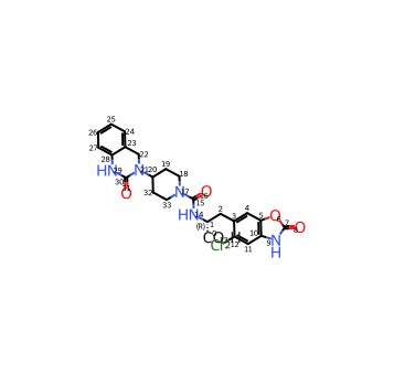 O=C(O)[C@@H](Cc1cc2oc(=O)[nH]c2cc1Cl)NC(=O)N1CCC(N2Cc3ccccc3NC2=O)CC1